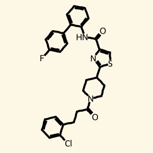 O=C(Nc1ccccc1-c1ccc(F)cc1)c1csc(C2CCN(C(=O)CCc3ccccc3Cl)CC2)n1